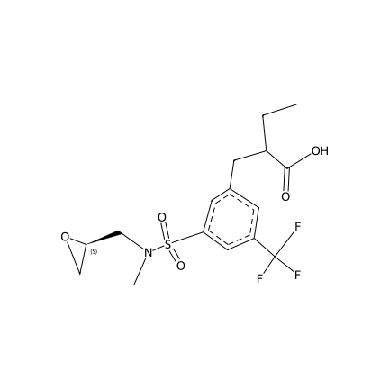 CCC(Cc1cc(C(F)(F)F)cc(S(=O)(=O)N(C)C[C@H]2CO2)c1)C(=O)O